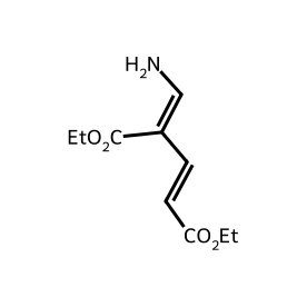 CCOC(=O)/C=C/C(=C/N)C(=O)OCC